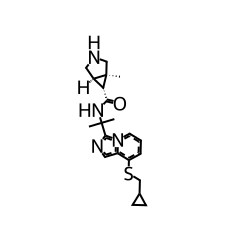 CC(C)(NC(=O)[C@@H]1[C@H]2CNC[C@]21C)c1ncc2c(SCC3CC3)cccn12